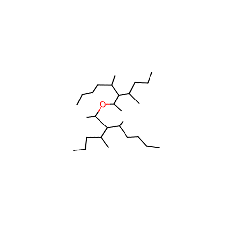 CCCCC(C)C(C(C)CCC)C(C)OC(C)C(C(C)CCC)C(C)CCCC